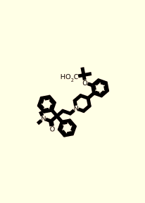 CN(C)C(=O)C(CCN1CCC(c2ccccc2OC(C)(C)C(=O)O)CC1)(c1ccccc1)c1ccccc1